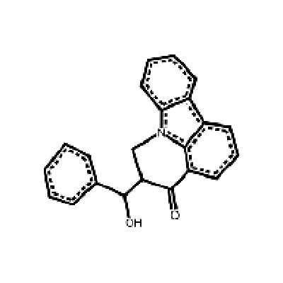 O=C1c2cccc3c4ccccc4n(c23)CC1C(O)c1ccccc1